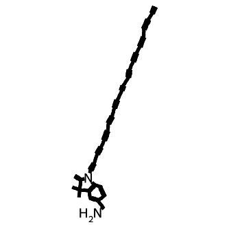 C#CC#CC#CC#CC#CC#CC#CC#CC#CC#CC#CN1C(=C)C(C)(C)c2cc(CN)ccc21